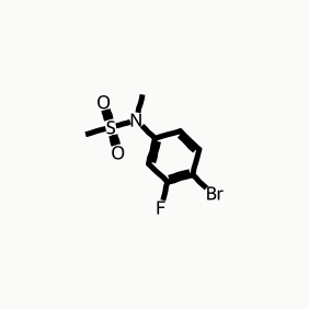 CN(c1ccc(Br)c(F)c1)S(C)(=O)=O